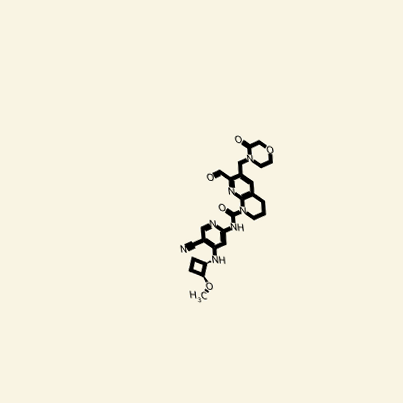 CO[C@H]1CC[C@@H]1Nc1cc(NC(=O)N2CCCc3cc(CN4CCOCC4=O)c(C=O)nc32)ncc1C#N